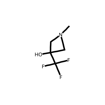 CN1CC(O)(C(F)(F)F)C1